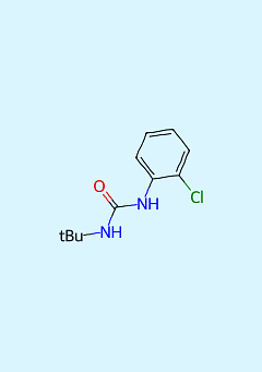 CC(C)(C)NC(=O)Nc1ccccc1Cl